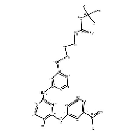 Cc1cnc(Nc2cccc(OCCCNC(=O)OC(C)(C)C)c2)nc1Nc1cccc([N+](=O)[O-])c1